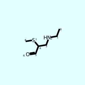 CCNCC(C=O)SC